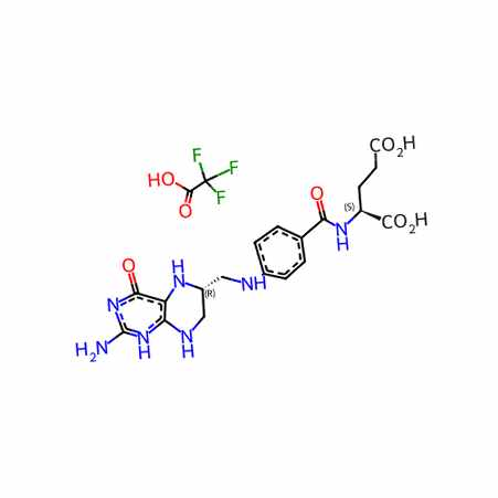 Nc1nc(=O)c2c([nH]1)NC[C@@H](CNc1ccc(C(=O)N[C@@H](CCC(=O)O)C(=O)O)cc1)N2.O=C(O)C(F)(F)F